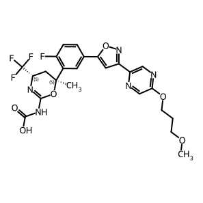 COCCCOc1cnc(-c2cc(-c3ccc(F)c([C@]4(C)C[C@@H](C(F)(F)F)N=C(NC(=O)O)O4)c3)on2)cn1